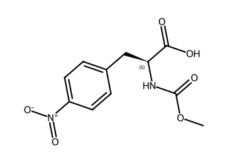 COC(=O)N[C@@H](Cc1ccc([N+](=O)[O-])cc1)C(=O)O